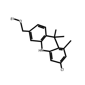 CCOCc1ccc2c(c1)Nc1cc(Cl)cc(C)c1C2(C)C